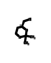 CC1(C)OCC[C@@H](CCl)O1